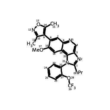 CCCc1nc2cnc3cc(-c4c(C)noc4C)c(OC)cc3c2n1-c1ccccc1OC(F)(F)F